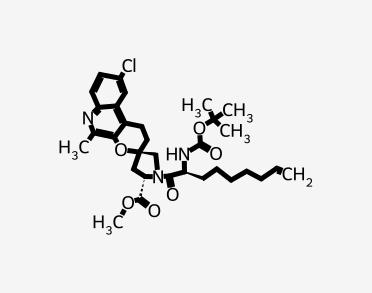 C=CCCCCC[C@H](NC(=O)OC(C)(C)C)C(=O)N1C[C@@]2(CCc3c(c(C)nc4ccc(Cl)cc34)O2)C[C@H]1C(=O)OC